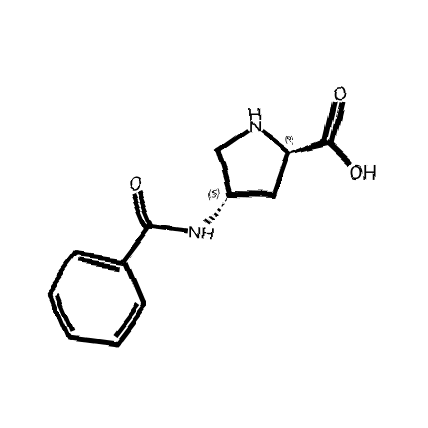 O=C(N[C@@H]1CN[C@@H](C(=O)O)C1)c1ccccc1